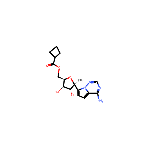 C[C@@]1(c2ccc3c(N)ncnn23)O[C@H](COC(=O)C2CCC2)[C@@H](O)[C@H]1O